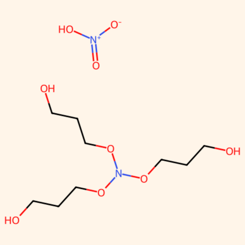 O=[N+]([O-])O.OCCCON(OCCCO)OCCCO